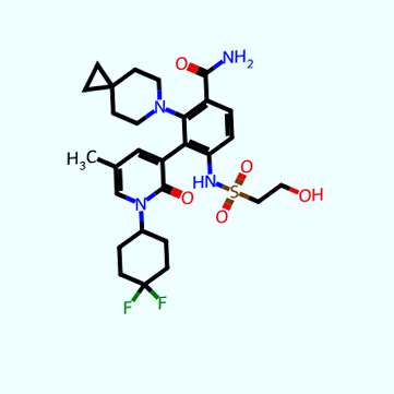 Cc1cc(-c2c(NS(=O)(=O)CCO)ccc(C(N)=O)c2N2CCC3(CC2)CC3)c(=O)n(C2CCC(F)(F)CC2)c1